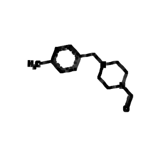 Cc1ccc(CN2CCN(C=O)CC2)cc1